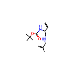 C=CC(CNCC(=C)C)NC(=O)OC(C)(C)C